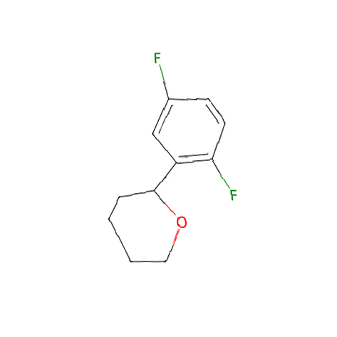 Fc1ccc(F)c(C2CCCCO2)c1